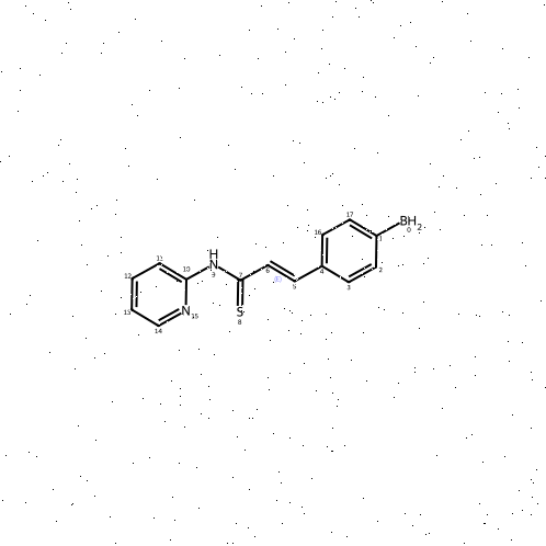 Bc1ccc(/C=C/C(=S)Nc2ccccn2)cc1